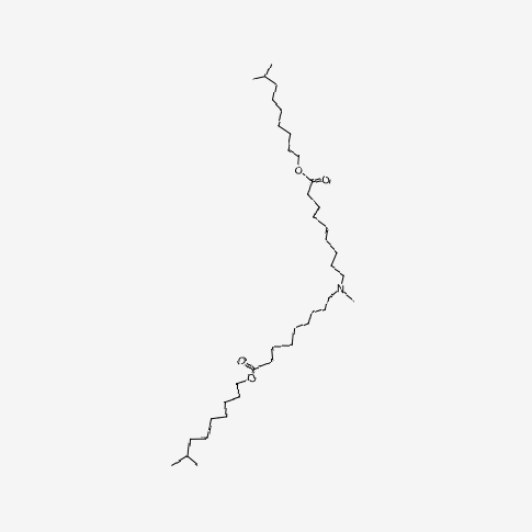 CC(C)CCCCCCCOC(=O)CCCCCCCCN(C)CCCCCCCCC(=O)OCCCCCCCC(C)C